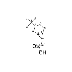 CC(C)(C)C1CCC2C(C1)C2OC(=O)O